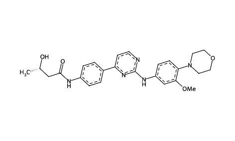 COc1cc(Nc2nccc(-c3ccc(NC(=O)C[C@H](C)O)cc3)n2)ccc1N1CCOCC1